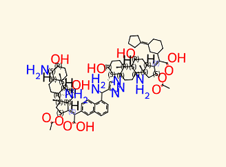 CC(=O)O[C@H]1C[C@@]2(C)[C@@H](C[C@@H](O)[C@H]3[C@@]4(C)CC[C@@H](O)[C@@H](N)[C@@H]4CC[C@@]32CN)/C1=C(/C(=O)O)c1ccc2c(C(N)c3cn([C@@]45CC[C@@]6(N)[C@@H]([C@H](O)C[C@H]7/C(=C(/C(=O)O)C8CCCC(=C9CCCC9)C8)[C@@H](OC(C)=O)C[C@@]76C)[C@@]4(C)CC[C@@H](O)[C@H]5C)nn3)cccc2c1